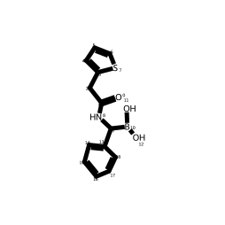 O=C(Cc1cccs1)NC(B(O)O)c1ccccc1